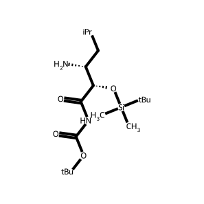 CC(C)C[C@@H](N)[C@H](O[Si](C)(C)C(C)(C)C)C(=O)NC(=O)OC(C)(C)C